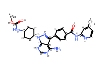 Cc1ccnc(NC(=O)c2ccc(-c3nn([C@H]4CC[C@H](NC(=O)OC(C)(C)C)CC4)c4ncnc(N)c34)cc2)c1